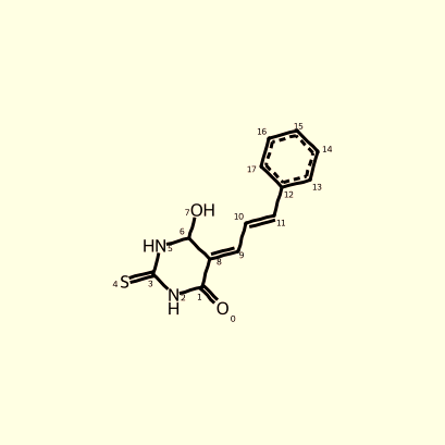 O=C1NC(=S)NC(O)/C1=C\C=C\c1ccccc1